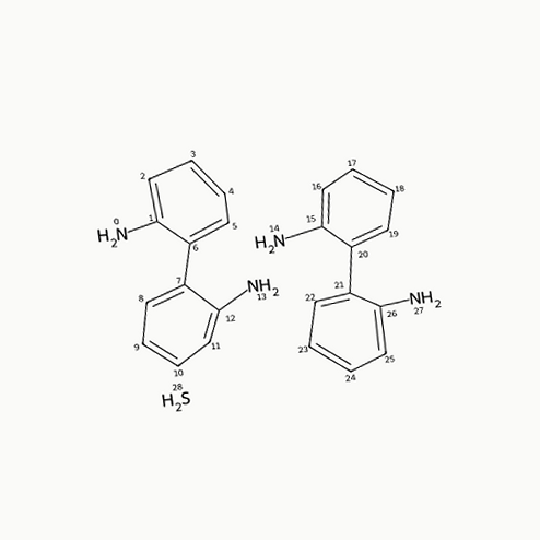 Nc1ccccc1-c1ccccc1N.Nc1ccccc1-c1ccccc1N.S